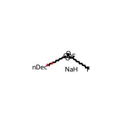 CCCCCCCCCCCCCCCCCCCCCCOS(=O)(=O)OCC(F)CCCCCCCCCCF.[NaH]